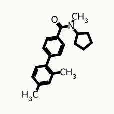 Cc1ccc(-c2ccc(C(=O)N(C)C3CCCC3)cc2)c(C)c1